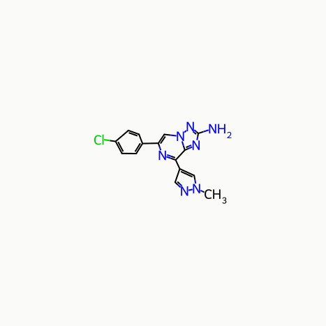 Cn1cc(-c2nc(-c3ccc(Cl)cc3)cn3nc(N)nc23)cn1